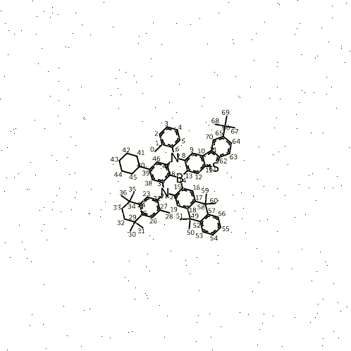 Cc1ccccc1N1c2cc3c(cc2B2c4cc5c(cc4N(c4cc6c(cc4C)C(C)(C)CCC6(C)C)c4cc(C6CCCCC6)cc1c42)C(C)(C)c1ccccc1C5(C)C)sc1ccc(C(C)(C)C)cc13